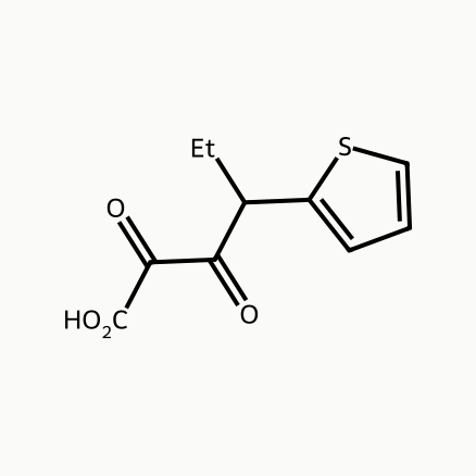 CCC(C(=O)C(=O)C(=O)O)c1cccs1